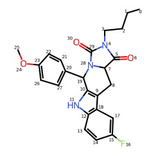 CCCCN1C(=O)C2Cc3c([nH]c4ccc(F)cc34)C(c3ccc(OC)cc3)N2C1=O